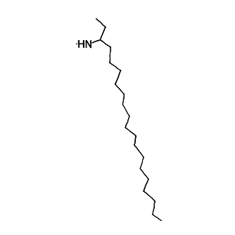 CCCCCCCCCCCCCCCCCC([NH])CC